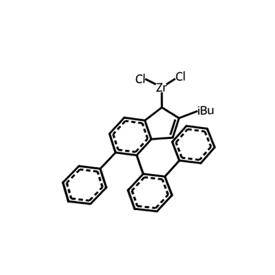 CCC(C)C1=Cc2c(ccc(-c3ccccc3)c2-c2ccccc2-c2ccccc2)[CH]1[Zr]([Cl])[Cl]